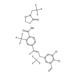 C=Cc1cc([C@@H](/C=C(\F)c2ccc(C(=O)N[C@@H]3CON(CC(F)(F)F)C3=O)c(C(F)(F)F)c2)C(F)(F)F)cc(Cl)c1Cl